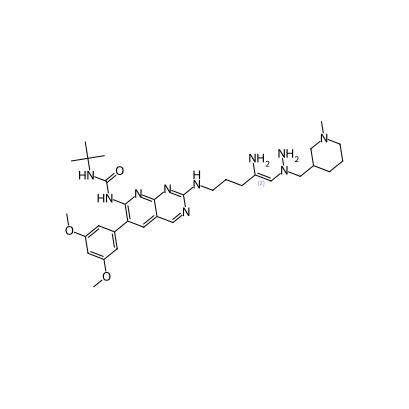 COc1cc(OC)cc(-c2cc3cnc(NCCC/C(N)=C/N(N)CC4CCCN(C)C4)nc3nc2NC(=O)NC(C)(C)C)c1